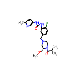 COC[C@@H]1CN(Cc2ccc(F)c(NC(=O)Nc3ccc(C)nc3)c2)CCN1C(=O)C(C)C